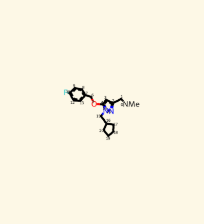 CNCc1cc(OCc2ccc(F)cc2)n(CC2CCCC2)n1